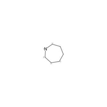 [C]1[C]CC[C][N][C]1